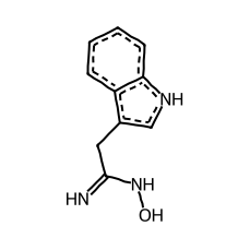 N=C(Cc1c[nH]c2ccccc12)NO